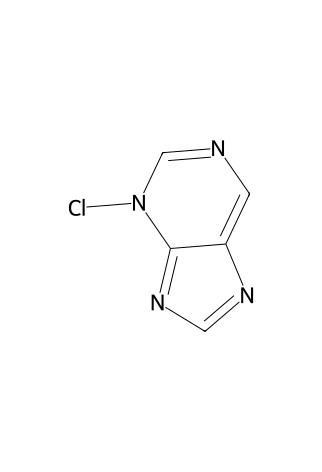 Cln1cncc2ncnc1-2